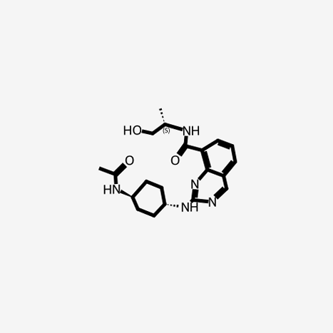 CC(=O)N[C@H]1CC[C@H](Nc2ncc3cccc(C(=O)N[C@@H](C)CO)c3n2)CC1